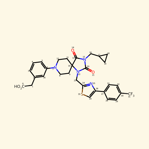 O=C(O)Cc1cccc(N2CCC3(CC2)C(=O)N(CC2CC2)C(=O)N3Cc2nc(-c3ccc(C(F)(F)F)cc3)cs2)c1